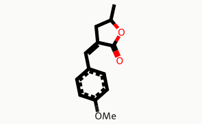 COc1ccc(C=C2CC(C)OC2=O)cc1